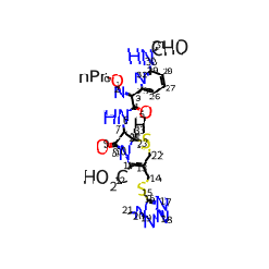 CCCON=C(C(=O)NC1C(=O)N2C(C(=O)O)=C(CSc3nnnn3C)CS[C@@H]12)c1cccc(NC=O)n1